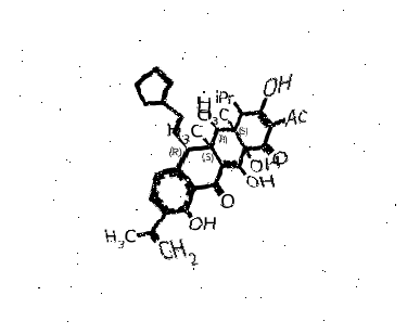 C=C(C)c1ccc2c(c1O)C(=O)C1=C(O)[C@@]3(O)C(=O)C(C(C)=O)=C(O)C(C(C)C)[C@@]3(C)[C@H](O)[C@@]1(C)[C@@H]2CCC1CCCC1